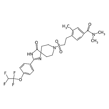 Cc1cc(C(=O)N(C)C)ccc1CCS(=O)(=O)N1CCC2(CC1)N=C(c1ccc(OC(F)(F)C(F)F)cc1)NC2=O